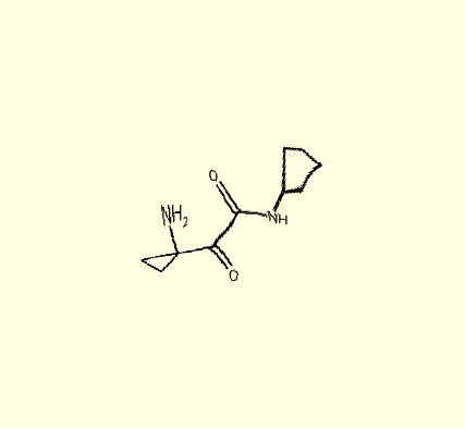 NC1(C(=O)C(=O)NC2CC2)CC1